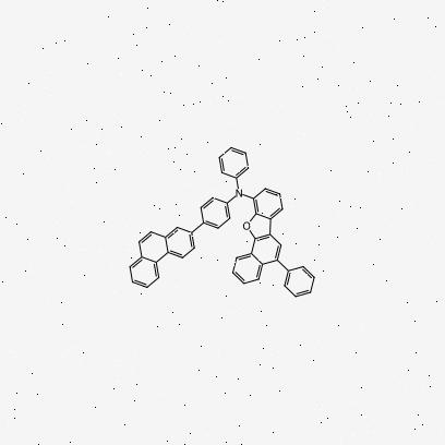 c1ccc(-c2cc3c4cccc(N(c5ccccc5)c5ccc(-c6ccc7c(ccc8ccccc87)c6)cc5)c4oc3c3ccccc23)cc1